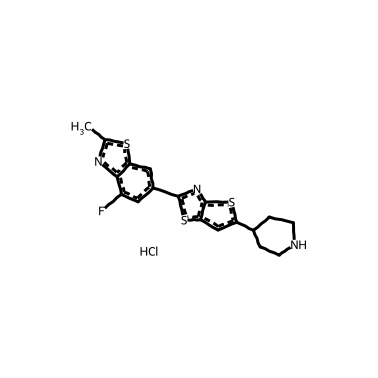 Cc1nc2c(F)cc(-c3nc4sc(C5CCNCC5)cc4s3)cc2s1.Cl